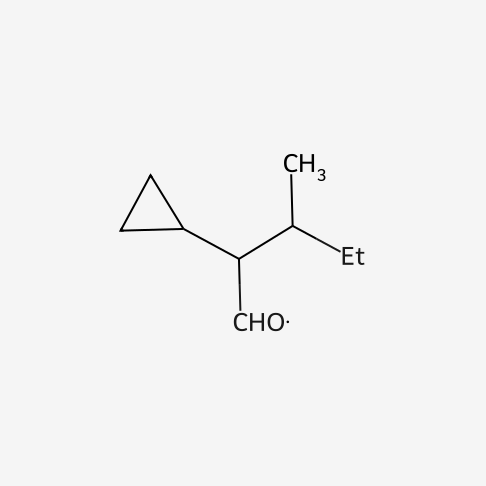 CCC(C)C([C]=O)C1CC1